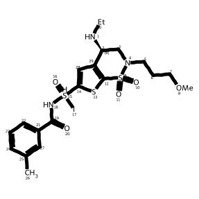 CCN[C@H]1CN(CCCOC)S(=O)(=O)c2sc([SH](=O)(I)NC(=O)c3cccc(C)c3)cc21